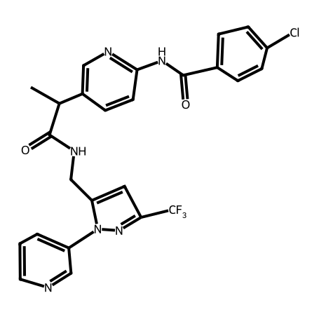 CC(C(=O)NCc1cc(C(F)(F)F)nn1-c1cccnc1)c1ccc(NC(=O)c2ccc(Cl)cc2)nc1